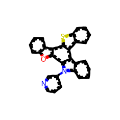 c1cncc(-n2c3ccccc3c3c4c5ccccc5sc4c4c5ccccc5oc4c32)c1